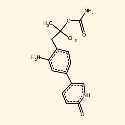 CC(C)(Cc1ccc(-c2ccc(=O)[nH]c2)cc1N)OC(N)=O